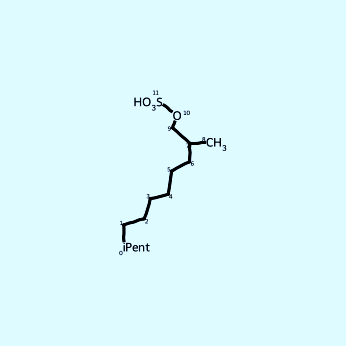 CCCC(C)CCCCCCC(C)COS(=O)(=O)O